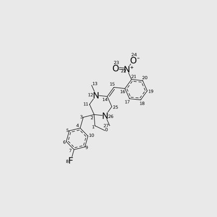 CCC1(Cc2ccc(F)cc2)CN(C)C(=Cc2ccccc2[N+](=O)[O-])CN1C